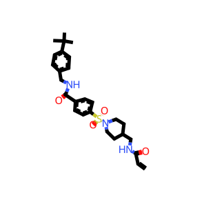 C=CC(=O)NCC1CCN(S(=O)(=O)c2ccc(C(=O)NCc3ccc(C(C)(C)C)cc3)cc2)CC1